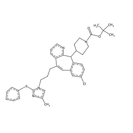 Cc1cn(CCCC2=Cc3cc(Cl)ccc3C(C3CCN(C(=O)OC(C)(C)C)CC3)c3ncccc32)c(Sc2ccccc2)n1